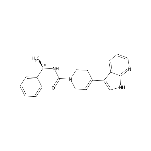 C[C@@H](NC(=O)N1CC=C(c2c[nH]c3ncccc23)CC1)c1ccccc1